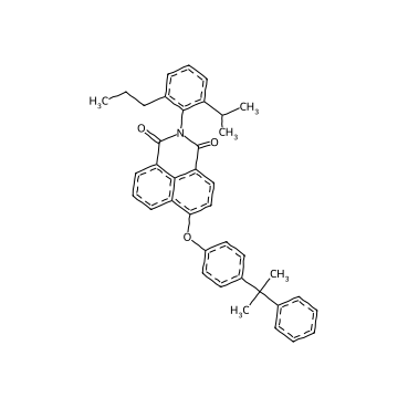 CCCc1cccc(C(C)C)c1N1C(=O)c2cccc3c(Oc4ccc(C(C)(C)c5ccccc5)cc4)ccc(c23)C1=O